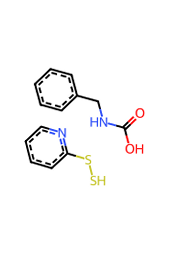 O=C(O)NCc1ccccc1.SSc1ccccn1